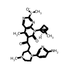 Cc1c(C(=O)CC2CN(C)CCN2c2ccc(N)nc2)c(=O)n(C23CC(C2)[C@H]3C)c2nc([S+](C)[O-])ncc12